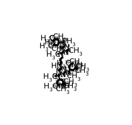 Cc1nc(N(C)CCCNc2nc(N(C)C3CC(C)(C)NC(C)(C)C3)nc(N(C)C3CC(C)(C)NC(C)(C)C3)n2)nc(N(C)C2CC(C)(C)NC(C)(C)C2)n1